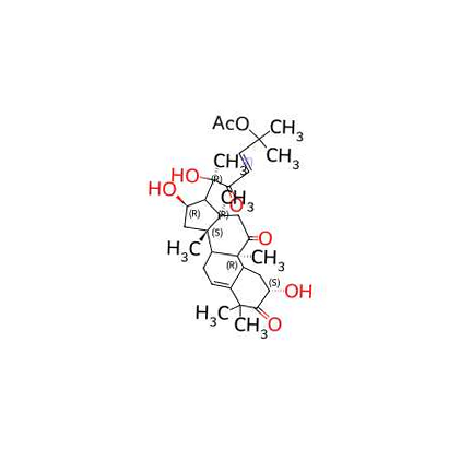 CC(=O)OC(C)(C)/C=C/C(=O)[C@](C)(O)C1[C@H](O)C[C@@]2(C)C3CC=C4C(C[C@H](O)C(=O)C4(C)C)[C@]3(C)C(=O)C[C@]12C